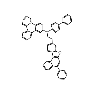 c1ccc(-c2ccc(C(CCc3ccc4c(c3)oc3cc(-c5ccccc5)c5ccccc5c34)c3ccc4c5ccccc5c5ccccc5c4c3)cc2)cc1